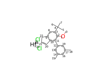 COc1c(C(C)(C)C)cc2c(c1-c1cc(C)cc(C)c1)C=C[CH]2.[Cl][Hf][Cl]